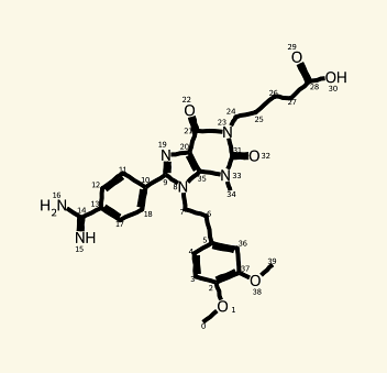 COc1ccc(CCn2c(-c3ccc(C(=N)N)cc3)nc3c(=O)n(CCCCC(=O)O)c(=O)n(C)c32)cc1OC